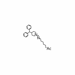 CC(=O)CCCCCC/N=C/N1CCC(C(c2ccccc2)c2ccccc2)CC1